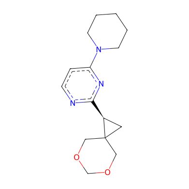 c1cc(N2CCCCC2)nc([C@H]2CC23COCOC3)n1